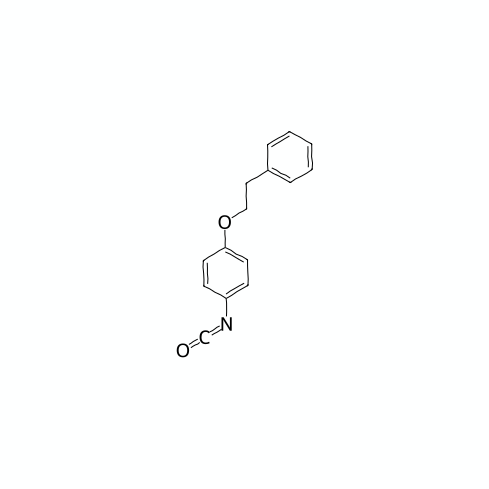 O=C=Nc1ccc(OCCc2ccccc2)cc1